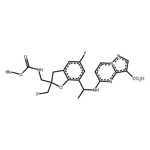 CCOC(=O)c1cnn2ccc(NC(C)c3cc(F)cc4c3OC(CF)(CNC(=O)OC(C)(C)C)C4)nc12